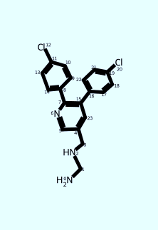 NCNCc1cnc(-c2ccc(Cl)cc2)c(-c2ccc(Cl)cc2)c1